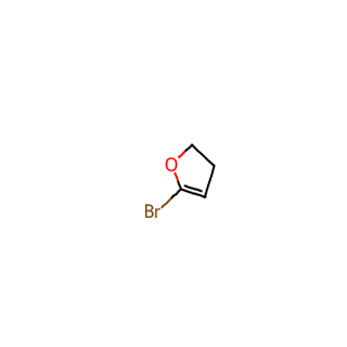 BrC1=CCCO1